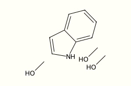 CO.CO.CO.c1ccc2[nH]ccc2c1